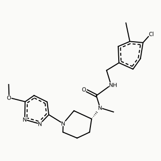 COc1ccc(N2CCC[C@@H](N(C)C(=O)NCc3ccc(Cl)c(C)c3)C2)nn1